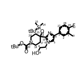 Cc1cc(-c2cn(CCO)c(C3(O[Si](C)(C)C(C)(C)C)CCN(C(=O)OC(C)(C)C)CC3)n2)ccc1F